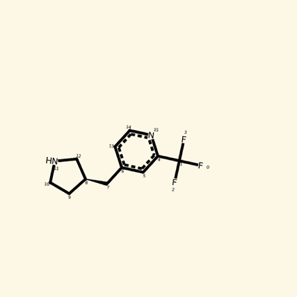 FC(F)(F)c1cc(C[C@H]2CCNC2)ccn1